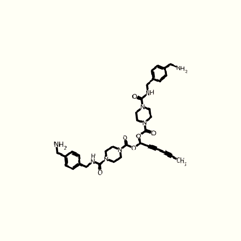 CC#CC#CC(OC(=O)N1CCN(C(=O)NCc2ccc(CN)cc2)CC1)OC(=O)N1CCN(C(=O)NCc2ccc(CN)cc2)CC1